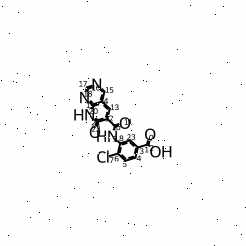 O=C(O)c1ccc(Cl)c(NC(=O)c2cc3cncnc3[nH]c2=O)c1